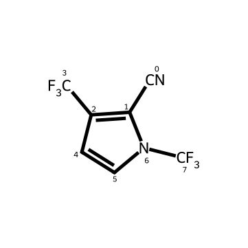 N#Cc1c(C(F)(F)F)ccn1C(F)(F)F